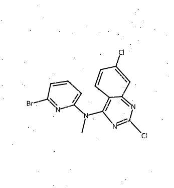 CN(c1cccc(Br)n1)c1nc(Cl)nc2cc(Cl)ccc12